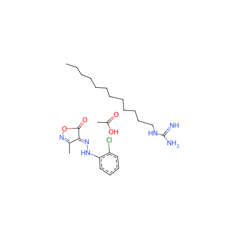 CC(=O)O.CC1=NOC(=O)/C1=N/Nc1ccccc1Cl.CCCCCCCCCCCCNC(=N)N